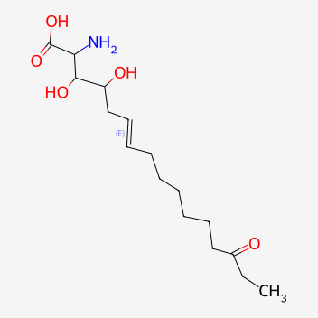 CCC(=O)CCCCCC/C=C/CC(O)C(O)C(N)C(=O)O